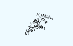 CCC(=O)Nc1cncc(-c2ccc3[nH]nc(-c4nc5c(-c6cc(F)cc(C(N)S(C)(=O)=O)c6)ccnc5[nH]4)c3n2)c1